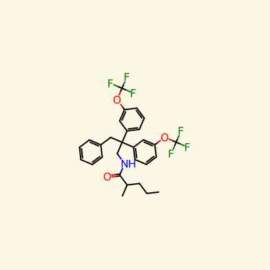 CCCC(C)C(=O)NCC(Cc1ccccc1)(c1cccc(OC(F)(F)F)c1)c1cccc(OC(F)(F)F)c1